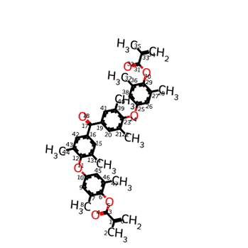 C=C(C)C(=O)Oc1c(C)cc(Oc2c(C)cc(C(=O)c3cc(C)c(Oc4cc(C)c(OC(=O)C(=C)C)c(C)c4)c(C)c3)cc2C)cc1C